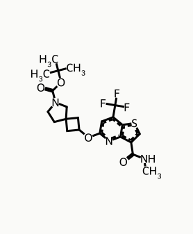 CNC(=O)c1csc2c(C(F)(F)F)cc(OC3CC4(CCN(C(=O)OC(C)(C)C)C4)C3)nc12